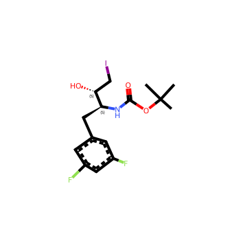 CC(C)(C)OC(=O)N[C@@H](Cc1cc(F)cc(F)c1)[C@H](O)CI